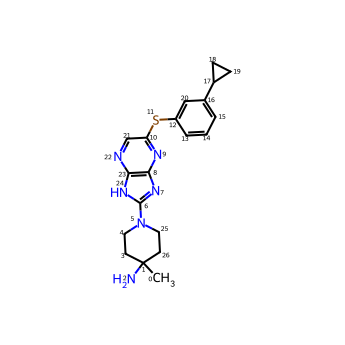 CC1(N)CCN(c2nc3nc(Sc4cccc(C5CC5)c4)cnc3[nH]2)CC1